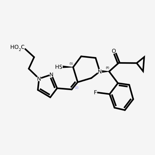 O=C(O)CCn1ccc(/C=C2/CN([C@@H](C(=O)C3CC3)c3ccccc3F)CC[C@@H]2S)n1